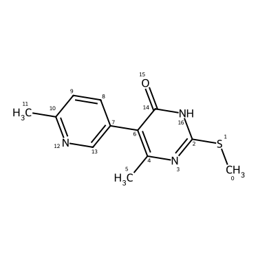 CSc1nc(C)c(-c2ccc(C)nc2)c(=O)[nH]1